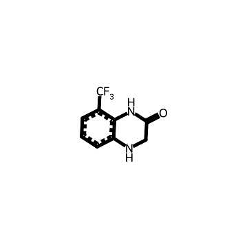 O=C1CNc2cccc(C(F)(F)F)c2N1